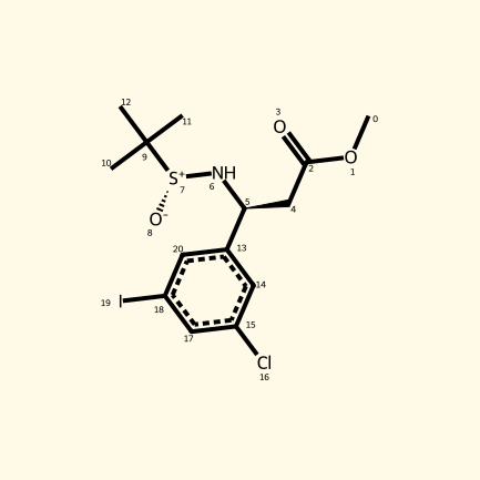 COC(=O)C[C@H](N[S@+]([O-])C(C)(C)C)c1cc(Cl)cc(I)c1